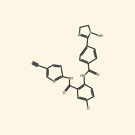 C#Cc1ccc(NC(=O)c2cc(Cl)ccc2NC(=O)c2ccc(C3=NCCN3CCC)cc2)nc1